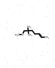 C/C=C/CCC(C)(C)COC